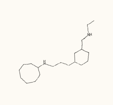 CCNCC1CCCC(CCCNC2CCCCCCC2)C1